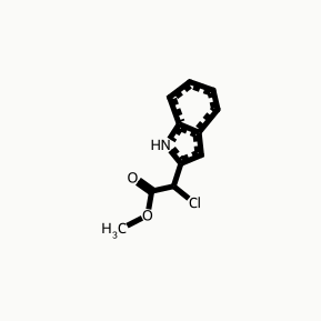 COC(=O)[C](Cl)c1cc2ccccc2[nH]1